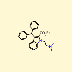 CCOC(=O)c1c(C(c2ccccc2)c2ccccc2)c2ccccc2n1CCN(C)C